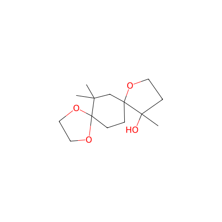 CC1(C)CC2(CCC13OCCO3)OCCC2(C)O